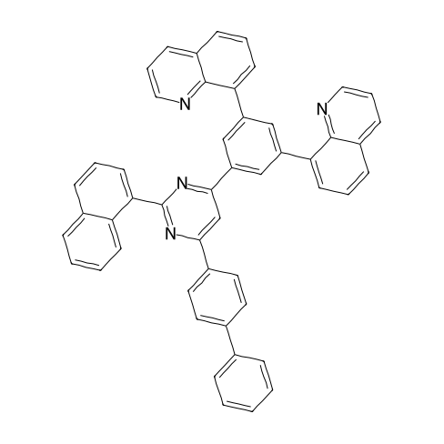 c1ccc(-c2ccc(-c3cc(-c4cc(-c5cccc6cccnc56)cc(-c5cccc6cccnc56)c4)nc(-c4cccc5ccccc45)n3)cc2)cc1